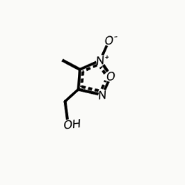 Cc1c(CO)no[n+]1[O-]